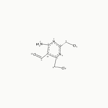 Nc1nc(CCl)nc(CCl)c1C=O